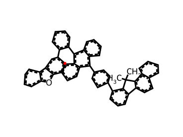 CC1(C)c2c(-c3ccc(-c4c5ccccc5c(-c5ccccc5-c5ccc6oc7ccccc7c6c5)c5ccccc45)cc3)cccc2-c2ccc3ccccc3c21